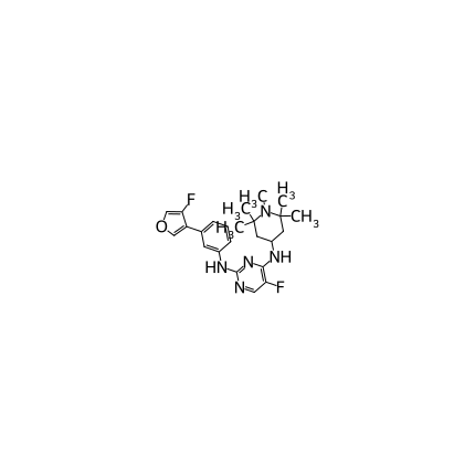 CN1C(C)(C)CC(Nc2nc(Nc3cccc(-c4cocc4F)c3)ncc2F)CC1(C)C